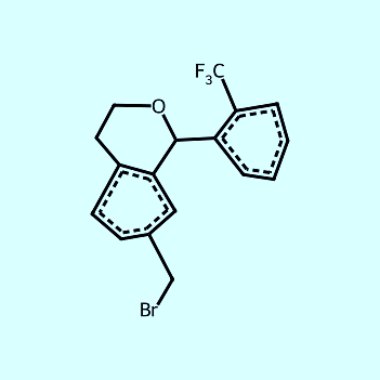 FC(F)(F)c1ccccc1C1OCCc2ccc(CBr)cc21